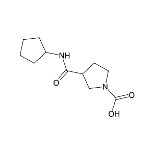 O=C(NC1CCCC1)C1CCN(C(=O)O)C1